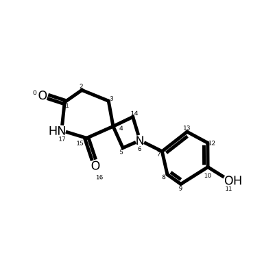 O=C1CCC2(CN(c3ccc(O)cc3)C2)C(=O)N1